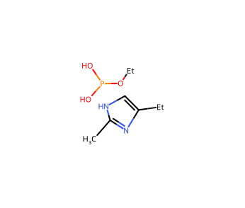 CCOP(O)O.CCc1c[nH]c(C)n1